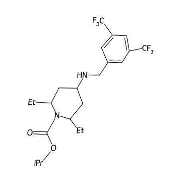 CCC1CC(NCc2cc(C(F)(F)F)cc(C(F)(F)F)c2)CC(CC)N1C(=O)OC(C)C